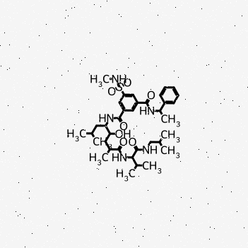 CNS(=O)(=O)c1cc(C(=O)NC(C)c2ccccc2)cc(C(=O)NC(CC(C)C)C(O)CC(C)C(=O)NC(C(=O)NCC(C)C)C(C)C)c1